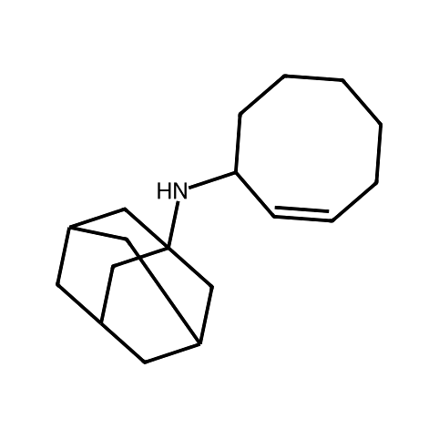 C1=C\C(NC23CC4CC(CC(C4)C2)C3)CCCCC/1